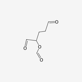 O=CCCC(C=O)OC=O